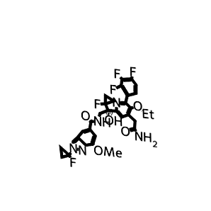 CCOc1c(CC(N)=O)cc([C@@](O)(CNC(=O)c2cc(OC)c3nn(C4(F)CC4)cc3c2)C2(F)CC2)nc1-c1ccc(F)c(F)c1F